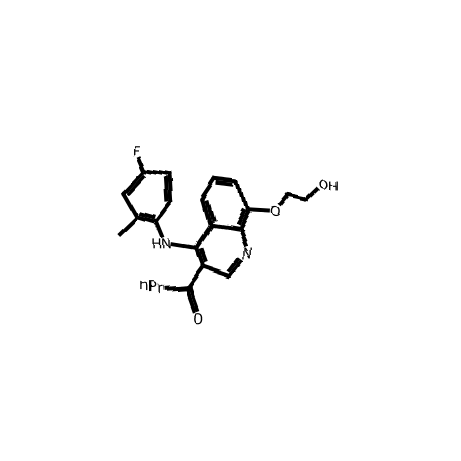 CCCC(=O)c1cnc2c(OCCO)cccc2c1Nc1ccc(F)cc1C